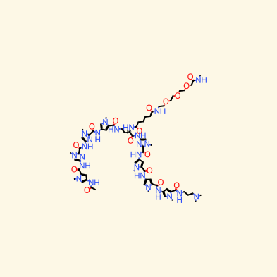 CNC(=O)COCCOCCOCCNC(=O)CCCCC(=O)N[C@H](CCNC(=O)c1cc(NC(=O)c2nc(NC(=O)c3nc(NC(=O)c4cc(NC(C)=O)cn4C)cn3C)cn2C)cn1C)C(=O)Nc1cn(C)c(C(=O)Nc2cc(C(=O)Nc3cc(C(=O)Nc4cc(C(=O)NCCCN(C)C)n(C)c4)n(C)c3)n(C)c2)n1